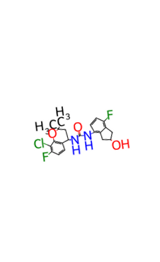 CC1(C)C[C@@H](NC(=O)Nc2ccc(F)c3c2C[C@H](O)C3)c2ccc(F)c(Cl)c2O1